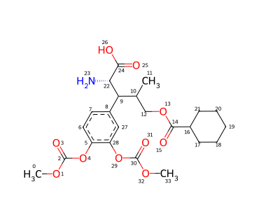 COC(=O)Oc1ccc(C(C(C)COC(=O)C2CCCCC2)[C@H](N)C(=O)O)cc1OC(=O)OC